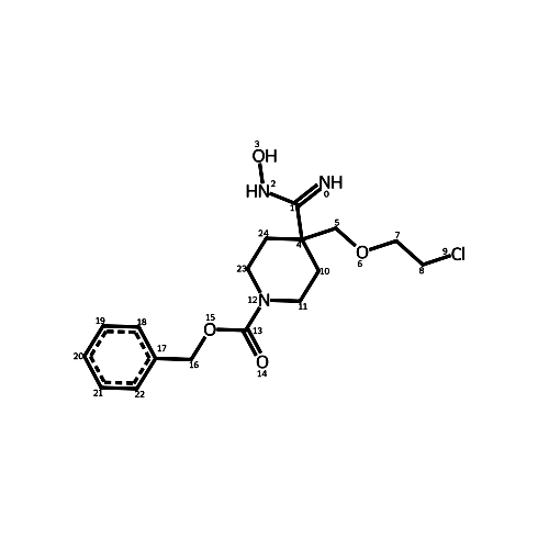 N=C(NO)C1(COCCCl)CCN(C(=O)OCc2ccccc2)CC1